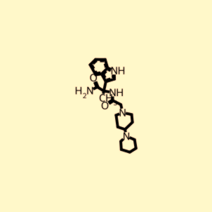 CC(NC(=O)CN1CCC(N2CCCCC2)CC1)(C(N)=O)c1c[nH]c2ccccc12